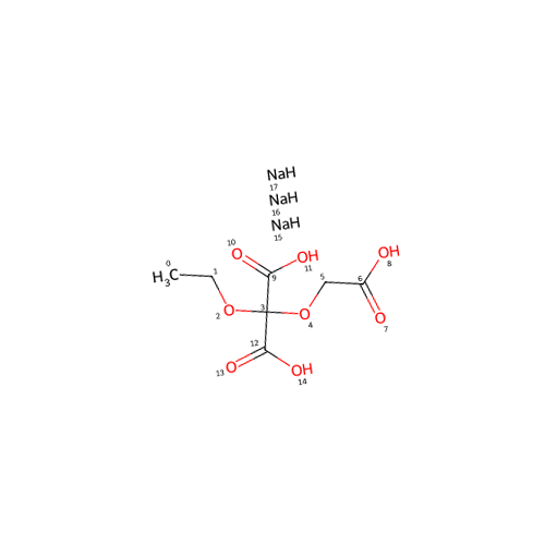 CCOC(OCC(=O)O)(C(=O)O)C(=O)O.[NaH].[NaH].[NaH]